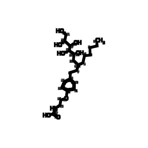 CCCCCCN(CCc1ccc(OCCNC(=O)O)cc1)C[C@H](O)[C@@H](O)[C@H](O)[C@H](O)CO